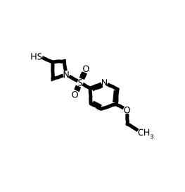 CCOc1ccc(S(=O)(=O)N2CC(S)C2)nc1